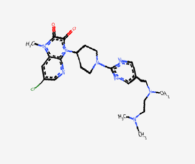 CN(C)CCN(C)Cc1cnc(N2CCC(n3c(=O)c(=O)n(C)c4cc(Cl)cnc43)CC2)nc1